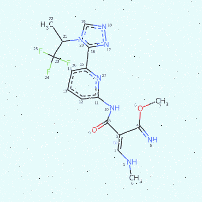 CN/C=C(\C(=N)OC)C(=O)Nc1cccc(-c2nncn2C(C)C(F)(F)F)n1